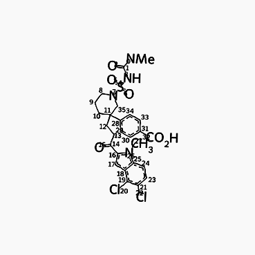 CNC(=O)NS(=O)(=O)N1CCCC(CCC(=O)c2cc3c(Cl)c(Cl)ccc3n2C)(c2ccc(C(=O)O)cc2)C1